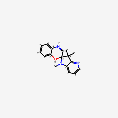 CN1c2cccnc2C(C)(C)C12C=Nc1ccccc1O2